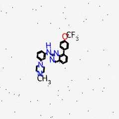 CN1CCN(c2cccc(Nc3ncc4cccc(-c5ccc(OC(F)(F)F)cc5)c4n3)c2)CC1